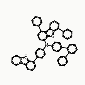 c1ccc(-c2ccccc2-c2ccc(N(c3ccc(-c4cccc5c4sc4ccccc45)cc3)c3ccc(-c4ccccc4)c4c3sc3c(-c5ccccc5)cccc34)cc2)cc1